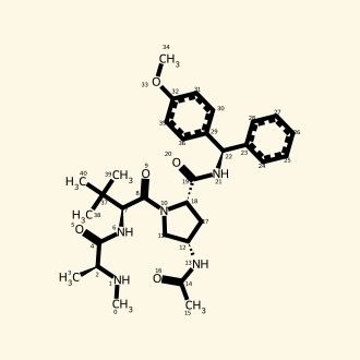 CN[C@@H](C)C(=O)N[C@H](C(=O)N1C[C@@H](NC(C)=O)C[C@H]1C(=O)N[C@H](c1ccccc1)c1ccc(OC)cc1)C(C)(C)C